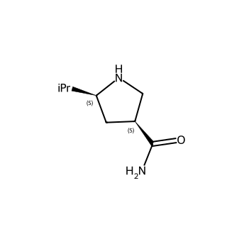 CC(C)[C@@H]1C[C@H](C(N)=O)CN1